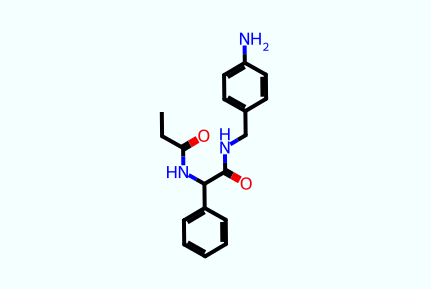 CCC(=O)NC(C(=O)NCc1ccc(N)cc1)c1ccccc1